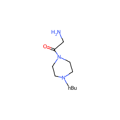 [CH2]CCCN1CCN(C(=O)CN)CC1